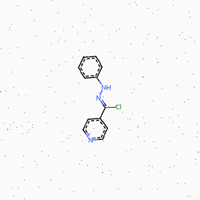 ClC(=NNc1ccccc1)c1ccncc1